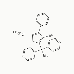 CCCCC(C1=[C]([Ti+3])C(c2ccccc2)=CC1)(c1ccccc1)c1ccccc1.[Cl-].[Cl-].[Cl-]